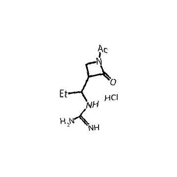 CCC(NC(=N)N)C1CN(C(C)=O)C1=O.Cl